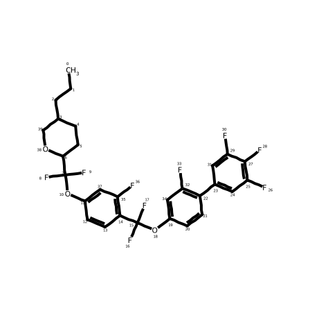 CCCC1CCC(C(F)(F)Oc2ccc(C(F)(F)Oc3ccc(-c4cc(F)c(F)c(F)c4)c(F)c3)c(F)c2)OC1